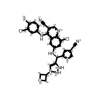 N#Cc1csc([C@H](Nc2cc(Cl)c3ncc(C#N)c(Nc4ccc(F)c(Cl)c4)c3c2)C2=CN(C3COC3)NN2)c1